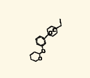 ICC12CCC(c3cccc(OC4CCCCO4)c3)(CC1)OC2